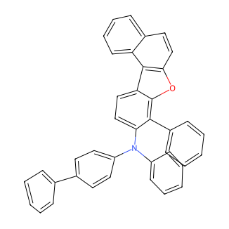 c1ccc(-c2ccc(N(c3ccccc3)c3ccc4c(oc5ccc6ccccc6c54)c3-c3ccccc3)cc2)cc1